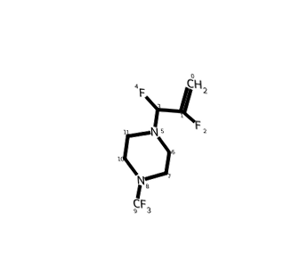 C=C(F)C(F)N1CCN(C(F)(F)F)CC1